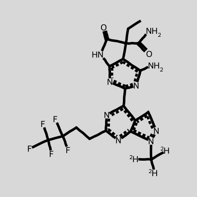 [2H]C([2H])([2H])n1ncc2c(-c3nc(N)c4c(n3)NC(=O)C4(CC)C(N)=O)nc(CCC(F)(F)C(F)(F)F)nc21